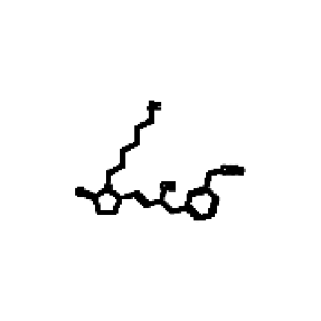 COCc1cccc(C[C@H](O)/C=C/[C@H]2CCC(=O)N2CCCCCCC(C)=O)c1